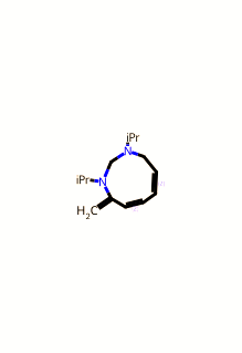 C=C1/C=C\C=C/CN(C(C)C)CN1C(C)C